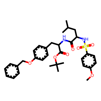 COc1ccc(S(=O)(=O)NC(CC(C)C)C(=O)NC(Cc2ccc(OCc3ccccc3)cc2)C(=O)OC(C)(C)C)cc1